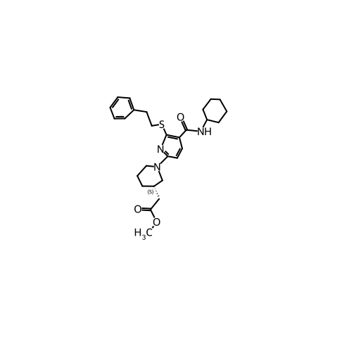 COC(=O)C[C@@H]1CCCN(c2ccc(C(=O)NC3CCCCC3)c(SCCc3ccccc3)n2)C1